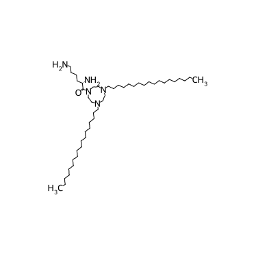 CCCCCCCCCCCCCCCCCCN1CCN(CCCCCCCCCCCCCCCCCC)CCN(C(=O)[C@@H](N)CCCCN)CC1